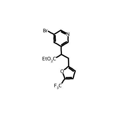 CCOC(=O)C(Cc1ccc(C(F)(F)F)o1)c1cncc(Br)c1